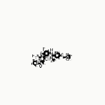 C[C@@]1(c2cc(Nc3ncnc4cc(OCc5ncco5)cnc34)cc(F)c2F)N=C(N)S[C@@]2(C(=O)N3CCCC3)C[C@@H]12